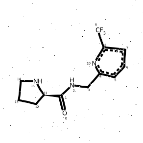 O=C(NCc1cccc(C(F)(F)F)n1)[C@H]1CCCN1